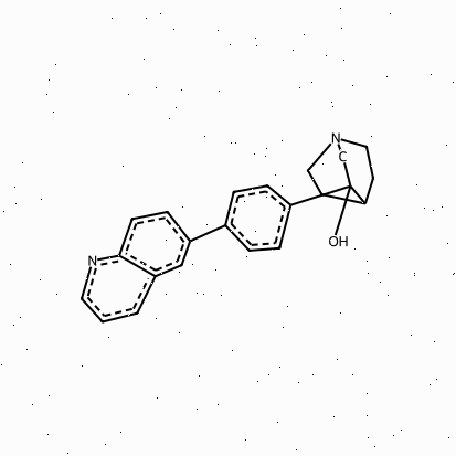 OC1(c2ccc(-c3ccc4ncccc4c3)cc2)CN2CCC1CC2